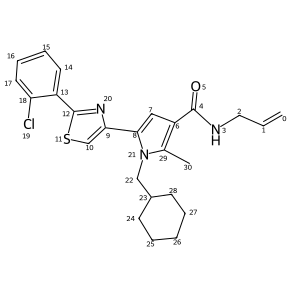 C=CCNC(=O)c1cc(-c2csc(-c3ccccc3Cl)n2)n(CC2CCCCC2)c1C